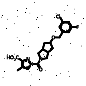 Cc1cn(C(=O)N2CC3CC(OCc4cc(F)cc(Cl)c4)CC3C2)nc1C(=O)O